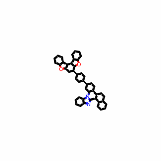 c1ccc2c(c1)ccc1c3ccc(-c4ccc(-c5cc6oc7ccccc7c6c6c5oc5ccccc56)cc4)cc3n3c4ccccc4nc3c21